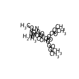 CCOc1nc(N)nc2c1ncn2[C@@H]1O[C@H](COP(=O)(OCOC(=O)OC(C)C)OCOC(=O)OC(C)C)[C@@H](O)[C@@]1(C)O